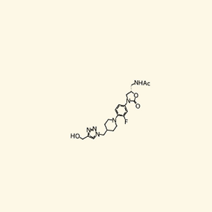 CC(=O)NC[C@H]1CN(c2ccc(N3CCC(Cn4cc(CO)nn4)CC3)c(F)c2)C(=O)O1